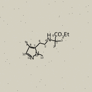 CCOC(=O)C(C)(C)NCCc1c(I)cnn1C